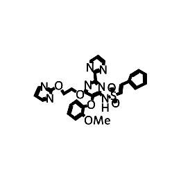 COc1ccccc1Oc1c(NS(=O)(=O)C=Cc2ccccc2)nc(-c2ncccn2)nc1OCCOc1ncccn1